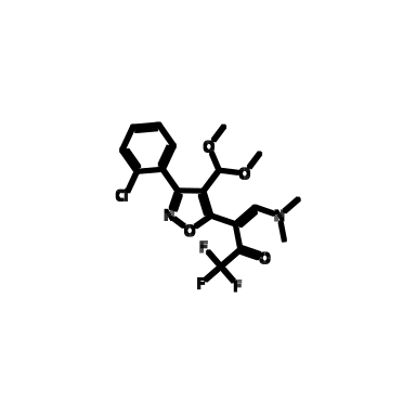 COC(OC)c1c(-c2ccccc2Cl)noc1/C(=C/N(C)C)C(=O)C(F)(F)F